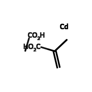 C=C(C)C(=O)O.CC(=O)O.[Cd]